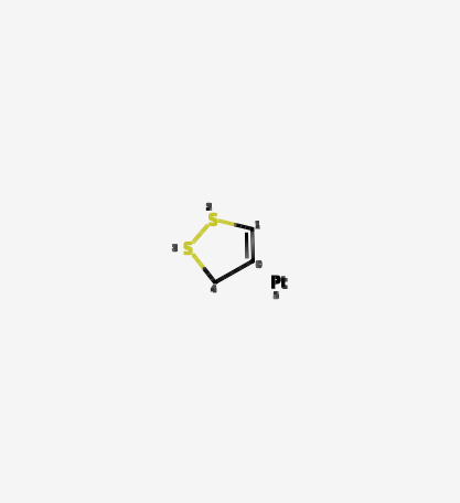 C1=CSSC1.[Pt]